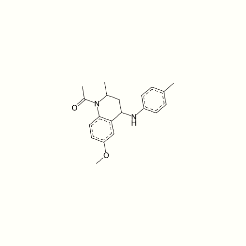 COc1ccc2c(c1)C(Nc1ccc(C)cc1)CC(C)N2C(C)=O